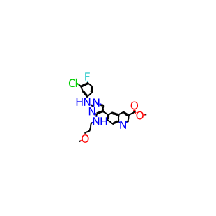 COCCCNc1nc(Nc2ccc(F)c(Cl)c2)ncc1-c1ccc2ncc(C(=O)OC)cc2c1